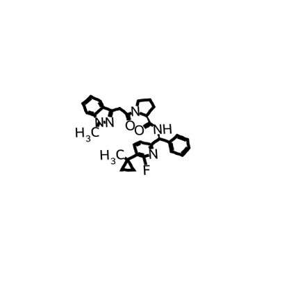 Cn1nc(CC(=O)N2CCC[C@H]2C(=O)N[C@@H](c2ccccc2)c2ccc(C3(C)CC3)c(F)n2)c2ccccc21